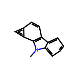 Cn1c2ccccc2c2ccc3c(c21)=C=3